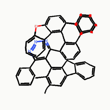 Cc1cc2c(c(-c3c(-c4ccccc4)nnnc3-c3cccc(-c4ccccc4)c3-c3c(-c4ccccc4)ccc4oc5ccccc5c34)c1C)Cc1ccccc1-2